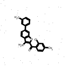 Cc1cccc(-c2ccc3c(N)c(C(=O)c4ccc(C)cc4Cl)oc3c2)c1